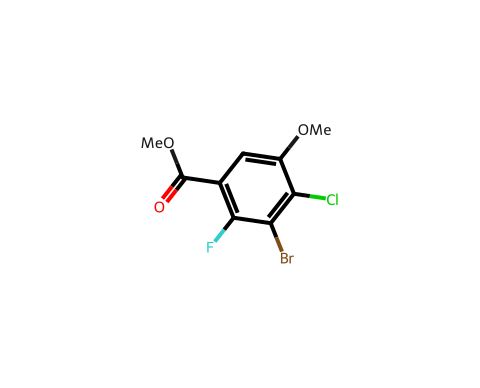 COC(=O)c1cc(OC)c(Cl)c(Br)c1F